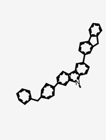 Cn1c2ccc(-c3ccc4c(c3)Cc3ccccc3-4)cc2c2ccc(-c3ccc(Cc4ccccc4)cc3)cc21